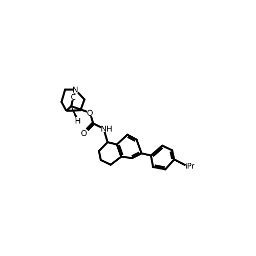 CC(C)c1ccc(-c2ccc3c(c2)CCCC3NC(=O)O[C@H]2CN3CCC2CC3)cc1